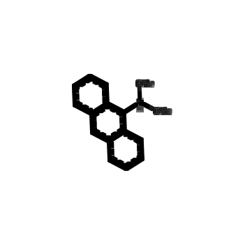 CO[SiH](OC)c1c2ccccc2cc2ccccc12